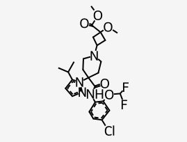 COC(=O)C1(OC)CC(N2CCC(C(=O)Nc3ccc(Cl)cc3OC(F)F)(n3nccc3C(C)C)CC2)C1